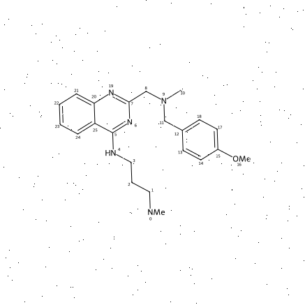 CNCCCNc1nc(CN(C)Cc2ccc(OC)cc2)nc2ccccc12